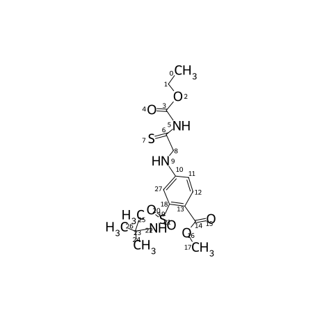 CCOC(=O)NC(=S)CNc1ccc(C(=O)OC)c(S(=O)(=O)NC(C)(C)C)c1